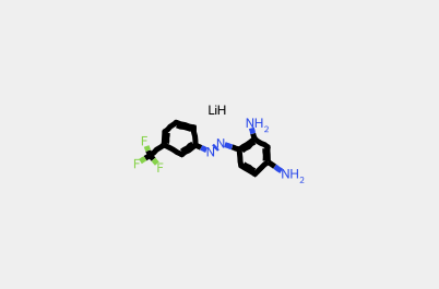 Nc1ccc(N=Nc2cccc(C(F)(F)F)c2)c(N)c1.[LiH]